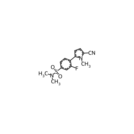 CN(C)S(=O)(=O)c1ccc(-c2ccc(C#N)n2C)c(F)c1